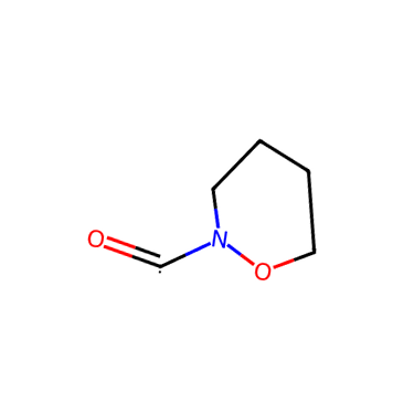 O=[C]N1CCCCO1